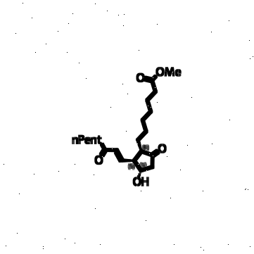 CCCCCC(=O)C=C[C@@H]1[C@@H](O)CC(=O)[C@@H]1CCCCCCC(=O)OC